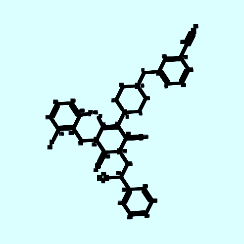 Cc1c(N2CCN(Cc3cccc(C#N)c3)CC2)c(=O)n(CC(N)c2ccccc2)c(=O)n1Cc1c(F)cccc1F